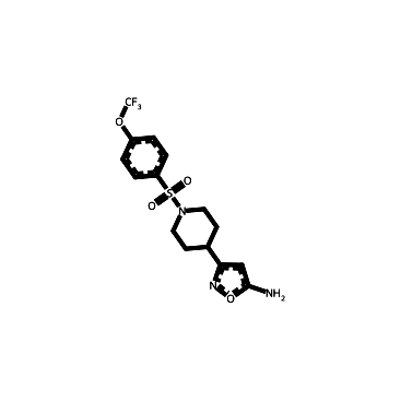 Nc1cc(C2CCN(S(=O)(=O)c3ccc(OC(F)(F)F)cc3)CC2)no1